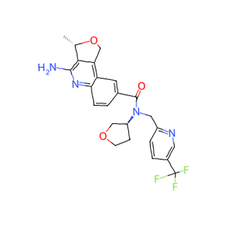 C[C@@H]1OCc2c1c(N)nc1ccc(C(=O)N(Cc3ccc(C(F)(F)F)cn3)[C@H]3CCOC3)cc21